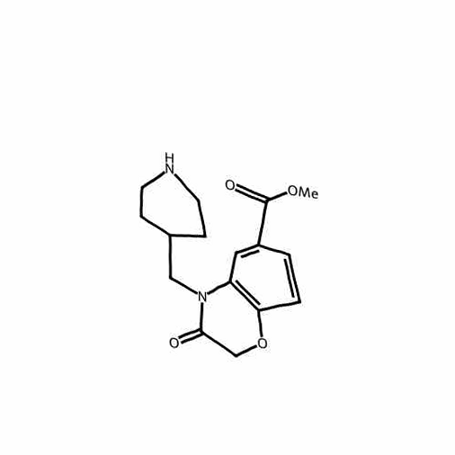 COC(=O)c1ccc2c(c1)N(CC1CCNCC1)C(=O)CO2